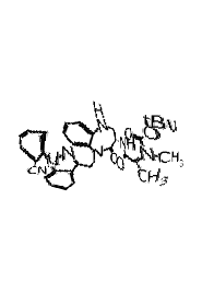 C[C@@H](C(=O)N[C@H]1CNc2ccccc2N(Cc2nn(-c3ccccc3C#N)c3ccccc23)C1=O)N(C)C(=O)OC(C)(C)C